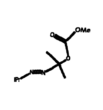 COC(=O)OC(C)(C)N=NC(C)C